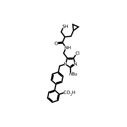 CCCCc1nc(Cl)c(CNC(=O)C(CS)CC2CC2)n1Cc1ccc(-c2ccccc2C(=O)O)cc1